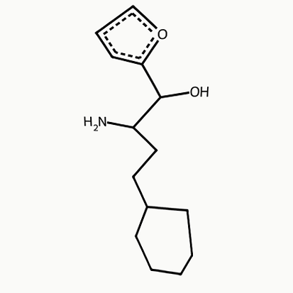 NC(CCC1CCCCC1)C(O)c1ccco1